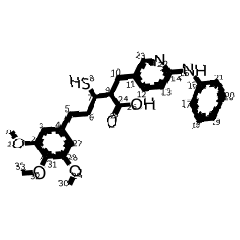 COc1cc(CCC(S)C(Cc2ccc(Nc3ccccc3)nc2)C(=O)O)cc(OC)c1OC